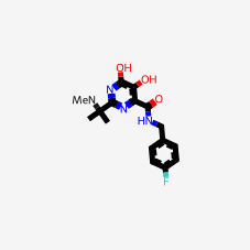 CNC(C)(C)c1nc(O)c(O)c(C(=O)NCc2ccc(F)cc2)n1